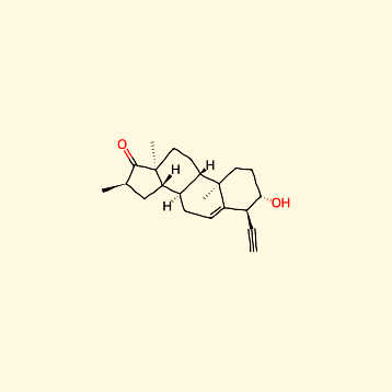 C#C[C@H]1C2=CC[C@@H]3[C@H](CC[C@]4(C)C(=O)[C@H](C)C[C@@H]34)[C@@]2(C)CC[C@@H]1O